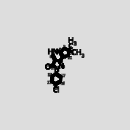 CC1(C)Cc2[nH]cc3c(=O)n(-c4ccc(Cl)cc4)nc-3c2C1